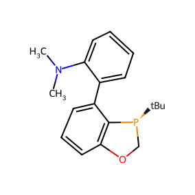 CN(C)c1ccccc1-c1cccc2c1[P@@](C(C)(C)C)CO2